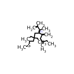 C=C(C)/C(C)=C(\CC(CC)(CC)CCSC)C(=C)CC(C)CC